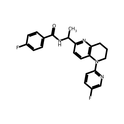 CC(NC(=O)c1ccc(F)cc1)c1ccc2c(n1)CCCN2c1ccc(F)cn1